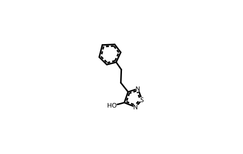 Oc1nsnc1CCc1ccccc1